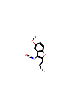 CCOc1ccc2oc(CCC(F)(F)F)c(N=C=O)c2c1